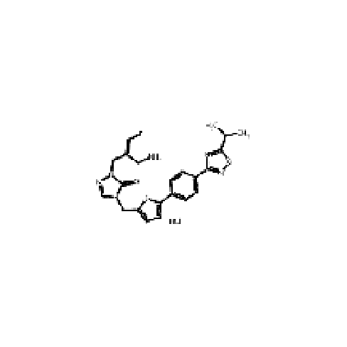 CC(C)c1nc(-c2ccc(-c3ccc(Cn4cnn(C/C(=C/F)CN)c4=O)s3)cc2)no1.Cl